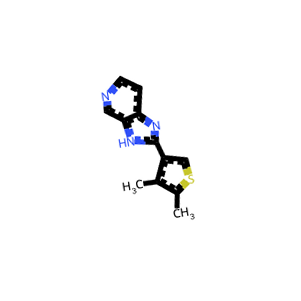 Cc1scc(-c2nc3ccncc3[nH]2)c1C